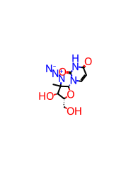 CC1(N=[N+]=[N-])[C@H](O)[C@@H](CO)O[C@H]1n1ccc(=O)[nH]c1=O